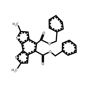 Cc1cc2c(C(=O)OCc3ccccc3)c(C(=O)OCc3ccccc3)c3cc(C)sc3c2s1